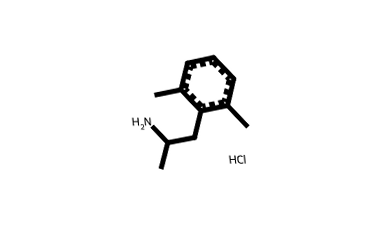 Cc1cccc(C)c1CC(C)N.Cl